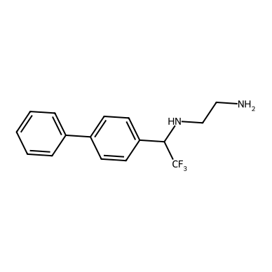 NCCNC(c1ccc(-c2ccccc2)cc1)C(F)(F)F